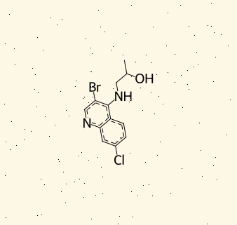 CC(O)CNc1c(Br)cnc2cc(Cl)ccc12